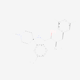 CC(=O)NC(Cc1cc(F)cc(F)c1)C(O)CNC1(c2cccc(C(C)(C)C)c2)CCN(C(=O)O)CC1